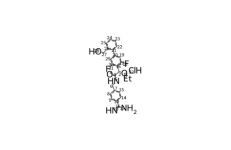 CCOC(C(=O)NCc1ccc(C(=N)N)cc1)c1c(F)cc(-c2ccccc2CO)cc1F.Cl